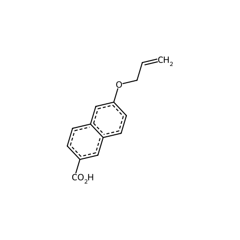 C=CCOc1ccc2cc(C(=O)O)ccc2c1